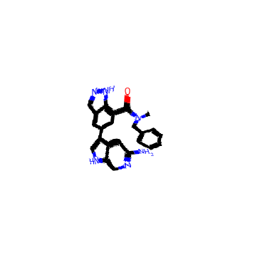 CN(Cc1ccccc1)C(=O)c1cc(-c2c[nH]c3cnc(N)cc23)cc2cn[nH]c12